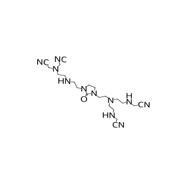 N#CCNCCN(CCNCC#N)CCN1CCN(CCNCCN(CC#N)CC#N)C1=O